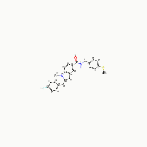 CCSc1ccc(CNC(=O)c2ccc3c(c2)CC(Cc2ccc(F)cc2)N3C(C)C)cc1